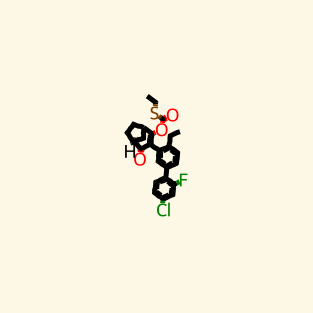 CCSC(=O)OC1=C(c2cc(-c3ccc(Cl)cc3F)ccc2CC)C(=O)[C@@H]2CCC1C2